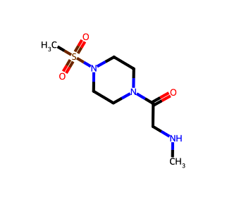 CNCC(=O)N1CCN(S(C)(=O)=O)CC1